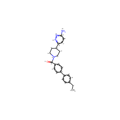 CCc1ccc(-c2ccc(C(=O)N3CCC(c4ccc(N)nn4)CC3)cc2)cc1